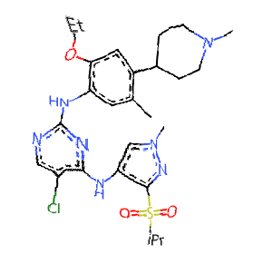 CCOc1cc(C2CCN(C)CC2)c(C)cc1Nc1ncc(Cl)c(Nc2cn(C)nc2S(=O)(=O)C(C)C)n1